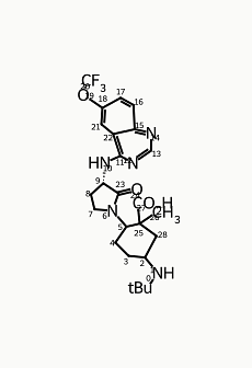 CC(C)(C)NC1CCC(N2CC[C@H](Nc3ncnc4ccc(OC(F)(F)F)cc34)C2=O)C(C)(C(=O)O)C1